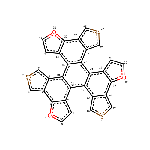 c1cc2c(o1)c1cscc1c1c2c2c3cscc3c3occc3c2c2c3cscc3c3occc3c12